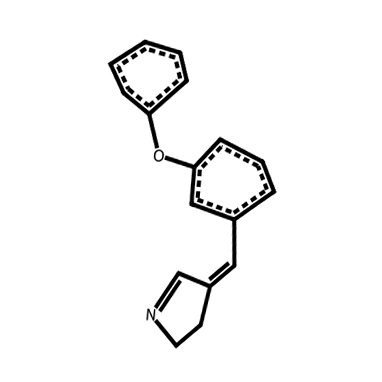 C1=NCCC1=Cc1cccc(Oc2ccccc2)c1